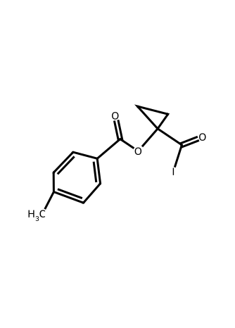 Cc1ccc(C(=O)OC2(C(=O)I)CC2)cc1